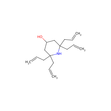 C=CCC1(CC=C)CC(O)CC(CC=C)(CC=C)N1